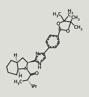 CC(C)[C@H](C)C(=O)N1[C@H](c2nc(-c3ccc(B4OC(C)(C)C(C)(C)O4)cc3)c[nH]2)C[C@@H]2CCCC[C@@H]21